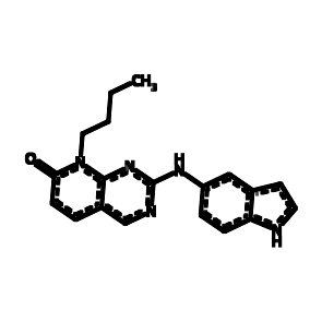 CCCCn1c(=O)ccc2cnc(Nc3ccc4[nH]ccc4c3)nc21